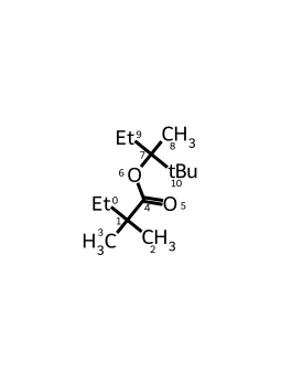 CCC(C)(C)C(=O)OC(C)(CC)C(C)(C)C